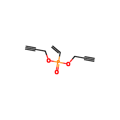 C#CCOP(=O)(C=C)OCC#C